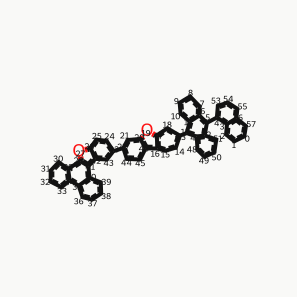 c1ccc2c(-c3c4ccccc4c(-c4ccc5c(c4)oc4cc(-c6ccc7oc8c9ccccc9c9ccccc9c8c7c6)ccc45)c4ccccc34)cccc2c1